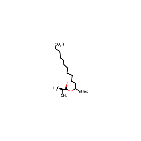 C=C(C)C(=O)OC(CCCCCC)CCCCCCCCCCC(=O)O